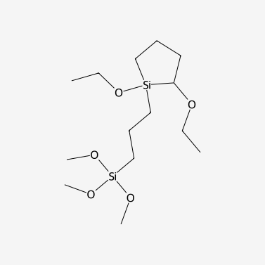 CCOC1CCC[Si]1(CCC[Si](OC)(OC)OC)OCC